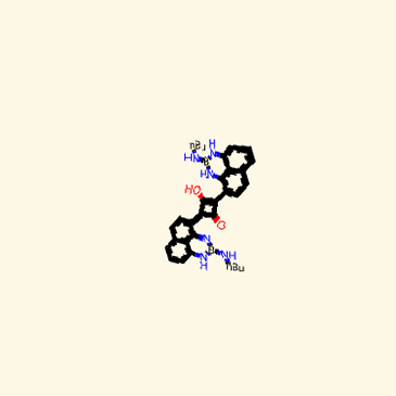 CCCCNB1N=c2/c(=C3\C(=O)C(c4ccc5cccc6c5c4NB(NCCCC)N6)=C3O)ccc3cccc(c23)N1